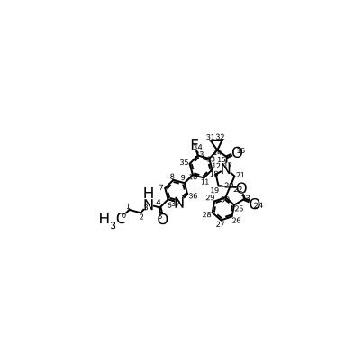 CCCNC(=O)c1ccc(-c2ccc(C3(C(=O)N4CC[C@@]5(C4)OC(=O)c4ccccc45)CC3)c(F)c2)cn1